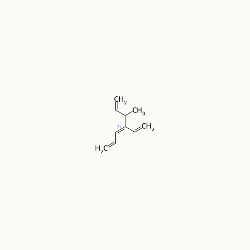 C=C/C=C(\C=C)C(C)C=C